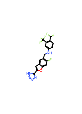 Fc1cc2oc(-c3nnn[nH]3)cc2cc1CNc1ccc(C(F)F)c(C(F)(F)F)c1